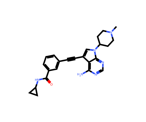 CN1CCC(n2cc(C#Cc3cccc(C(=O)NC4CC4)c3)c3c(N)ncnc32)CC1